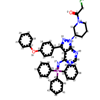 O=C(CF)N1CCC[C@@H](n2nc(-c3ccc(Oc4ccccc4)cc3)c3c(N=P(c4ccccc4)(c4ccccc4)c4ccccc4)ncnc32)C1